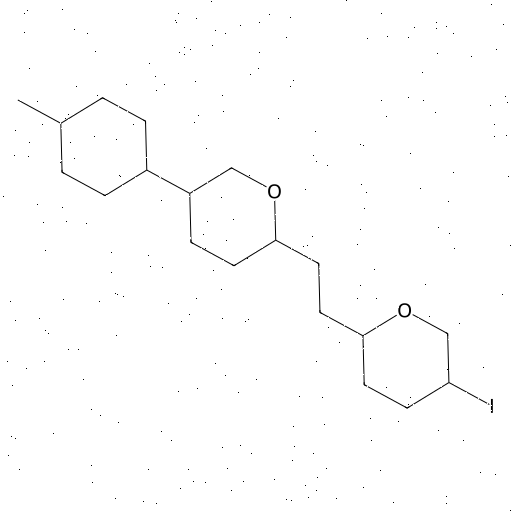 CC1CCC(C2CCC(CCC3CCC(I)CO3)OC2)CC1